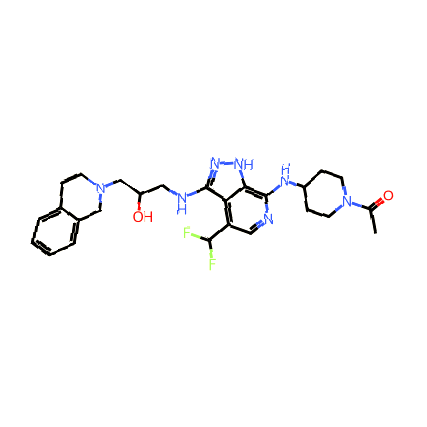 CC(=O)N1CCC(Nc2ncc(C(F)F)c3c(NCC(O)CN4CCc5ccccc5C4)n[nH]c23)CC1